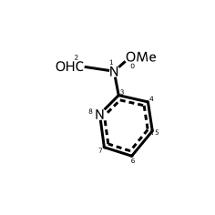 CON(C=O)c1c[c]ccn1